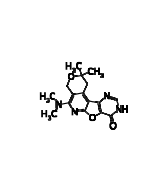 CN(C)c1nc2oc3c(=O)[nH]cnc3c2c2c1COC(C)(C)C2